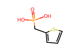 O=P(O)(O)Cc1cccs1